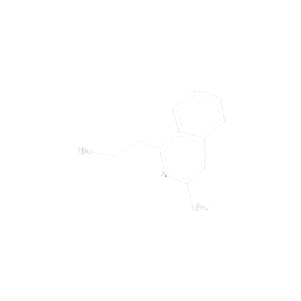 CC(C)(C)CCc1nc(C(C)(C)C)cc2ccccc12